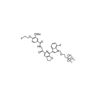 COc1cc(C(=O)NCC(=O)c2cc3c(c(-c4cn(COCC[Si](C)(C)C)c5c(F)cccc45)n2)OCC3)ccc1OCCF